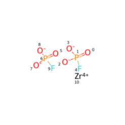 O=P([O-])([O-])F.O=P([O-])([O-])F.[Zr+4]